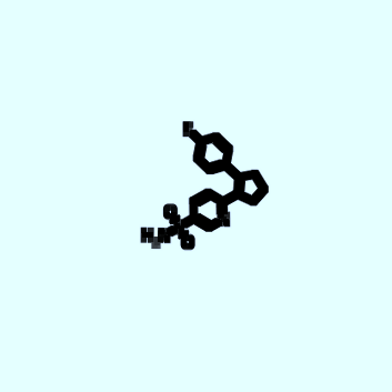 NS(=O)(=O)c1ccc(C2=C(c3ccc(F)cc3)CCC2)nc1